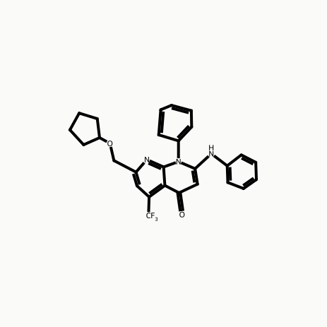 O=c1cc(Nc2ccccc2)n(-c2ccccc2)c2nc(COC3CCCC3)cc(C(F)(F)F)c12